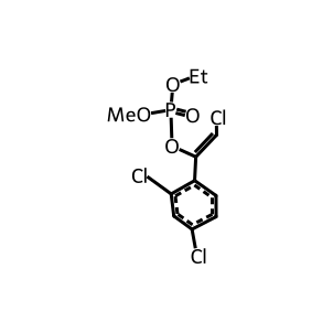 CCOP(=O)(OC)OC(=CCl)c1ccc(Cl)cc1Cl